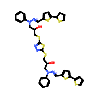 OC(CSc1nnc(SCC(O)CN(/N=C/c2ccc(C3CC=CS3)s2)c2ccccc2)s1)CN(/N=C/c1ccc(-c2cccs2)s1)c1ccccc1